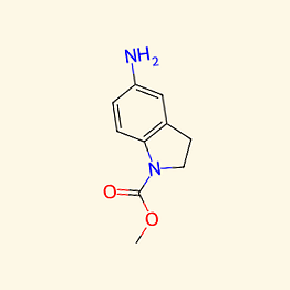 COC(=O)N1CCc2cc(N)ccc21